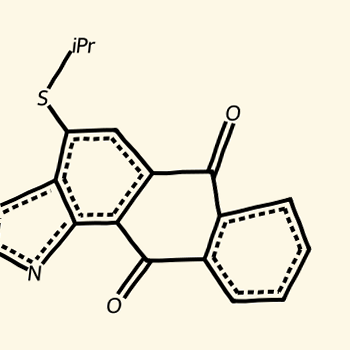 CC(C)Sc1cc2c(c3nsnc13)C(=O)c1ccccc1C2=O